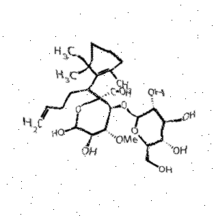 C=CCCC(C1=C(C)CCCC1(C)C)[C@]1(CO)OC(O)[C@H](O)[C@@H](OC)[C@@H]1O[C@@H]1O[C@H](CO)[C@@H](O)[C@H](O)[C@H]1O